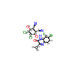 N#CC1=C(C#N)C(=O)C(Cl)=C(Cl)C1=O.O=c1[nH]c2c(F)c(Br)ccc2nc1C1CC1